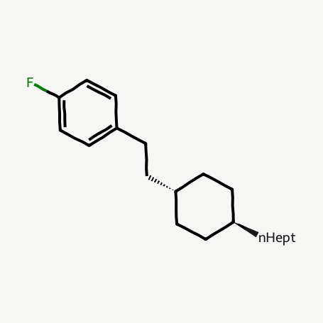 CCCCCCC[C@H]1CC[C@H](CCc2ccc(F)cc2)CC1